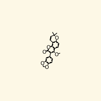 COc1c(-c2ccc3c(c2)OCO3)c(=O)oc2c3c(ccc12)OC(C)(C)C=C3